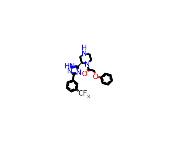 O=C(COc1ccccc1)N1CCNC[C@@H]1c1nc(-c2cccc(C(F)(F)F)c2)n[nH]1